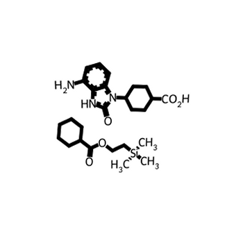 C[Si](C)(C)CCOC(=O)C1CCCCC1.Nc1cccc2c1[nH]c(=O)n2C1CCC(C(=O)O)CC1